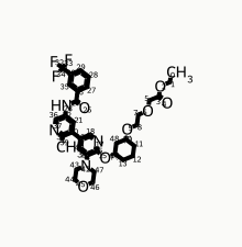 CCOC(=O)COCCO[C@@H]1CCC[C@@H](Oc2ncc(-c3cc(NC(=O)c4cccc(C(F)(F)F)c4)cnc3C)cc2N2CCOCC2)C1